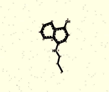 CCCNc1ccc(O)c2ccccc12